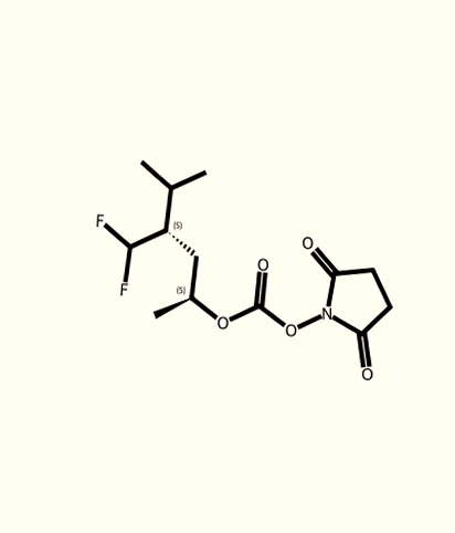 CC(C)[C@H](C[C@H](C)OC(=O)ON1C(=O)CCC1=O)C(F)F